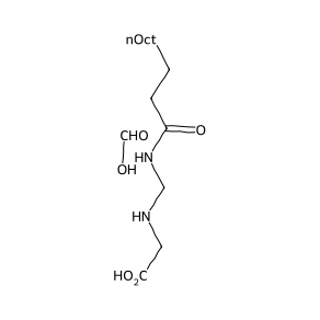 CCCCCCCCCCC(=O)NCNCC(=O)O.O=CO